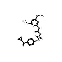 COc1cc(OC)nc(NC(=O)NS(=O)(=O)Nc2ccc(C(=O)C3CC3)cc2)n1